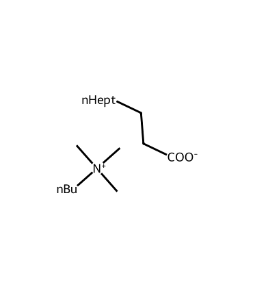 CCCCCCCCCC(=O)[O-].CCCC[N+](C)(C)C